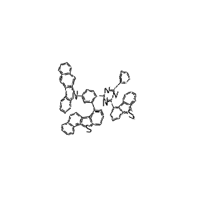 c1ccc(-c2nc(-c3ccc(-n4c5ccccc5c5cc6ccccc6cc54)cc3-c3cccc4sc5c6ccccc6ccc5c34)nc(-c3cccc4sc5ccccc5c34)n2)cc1